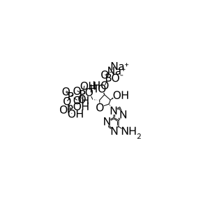 Nc1ncnc2c1ncn2[C@@H]1O[C@H](COP(=O)(O)OP(=O)(O)OP(=O)(O)O)[C@@H](O)[C@H]1O.[Na+].[Na+].[O-]B([O-])O